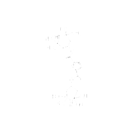 CC1(C)CC(OC(=O)c2ccc(C(=O)OC3CC(C)(C)NC(C)(C)C3)o2)CC(C)(C)N1